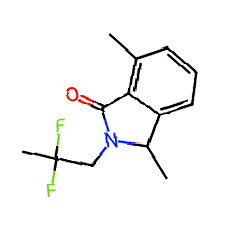 Cc1cccc2c1C(=O)N(CC(C)(F)F)C2C